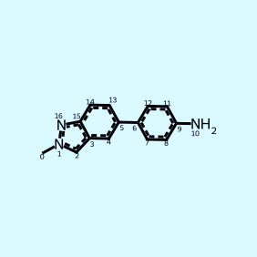 Cn1cc2cc(-c3ccc(N)cc3)ccc2n1